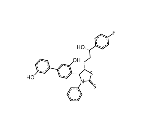 Oc1cccc(-c2ccc([C@@H]3[C@H](CC[C@H](O)c4ccc(F)cc4)SC(=S)N3c3ccccc3)c(O)c2)c1